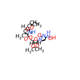 CC(C)[C@H](NC(=O)OC(C)(C)C)C(=O)OC[C@H]1O[C@@H](n2ccc(NO)nc2=O)[C@@H]2OC(C)(C)O[C@@H]21